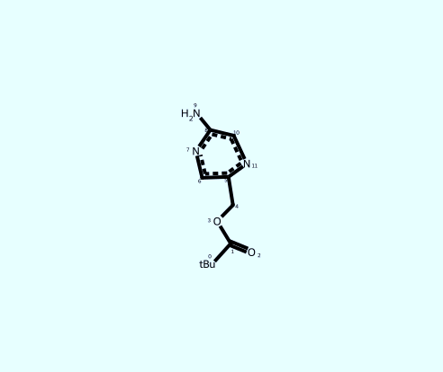 CC(C)(C)C(=O)OCc1cnc(N)cn1